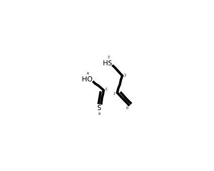 C=CCS.OC=S